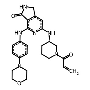 C=CC(=O)N1CCC[C@@H](Nc2cc3c(c(Nc4ccc(N5CCOCC5)cc4)n2)C(=O)NC3)C1